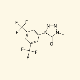 Cn1nnn(-c2cc(C(F)(F)F)cc(C(F)(F)F)c2)c1=O